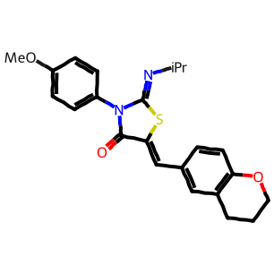 COc1ccc(N2C(=O)/C(=C/c3ccc4c(c3)CCCO4)S/C2=N\C(C)C)cc1